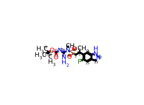 C[C@H](CS(=O)(=O)N(C)/C(N)=N/C(=O)OC(C)(C)C)c1cc2[nH]ncc2cc1F